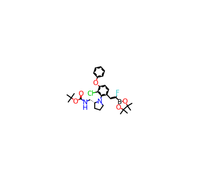 CC(C)(C)OC(=O)NC[C@H]1CCCN1c1c(/C=C(\F)B2OC(C)(C)C(C)(C)O2)ccc(Oc2ccccc2)c1Cl